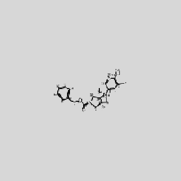 Cc1cc(N2C[C@H]3CN(C(=O)OCc4ccccc4)C[C@H]32)cnc1Cl